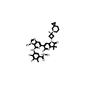 CCNC(=O)c1cc(Nc2nc(-c3cc4c(nc3F)C(C)(C)C(=O)N4[C@H]3C[C@@](C)(N4CCCC5(CC5)C4)C3)cc3ncn(C(C)C)c23)c(F)c(F)c1C